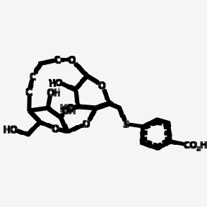 O=C(O)c1ccc(SCC2OC3OCCCCC4C(CO)OC(OC2C(O)C3O)C(O)C4O)cc1